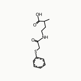 CC(CCNC(=O)CSc1ccccc1)C(=O)O